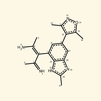 CC(=N)/C(=C(/C)N)c1cc(-c2c(C)noc2C)cc2nc(C)[nH]c12